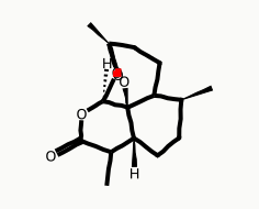 CC1C(=O)O[C@H]2O[C@@]3(C)CCC4[C@@H](C)CC[C@H]1[C@@]42OO3